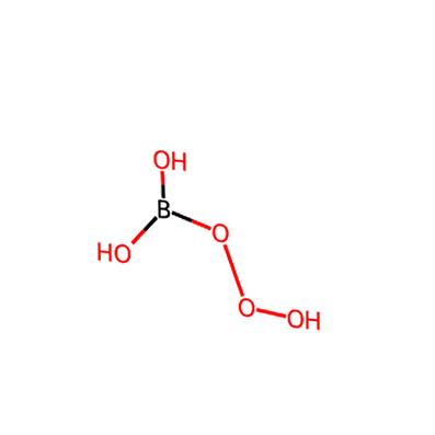 OOOB(O)O